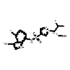 N#Cc1c[nH]c2c(NS(=O)(=O)c3cnn([C@@H](CO)C(F)F)c3)ccc(F)c12